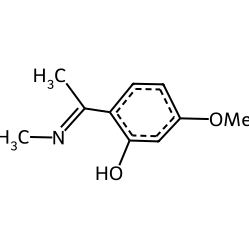 CN=C(C)c1ccc(OC)cc1O